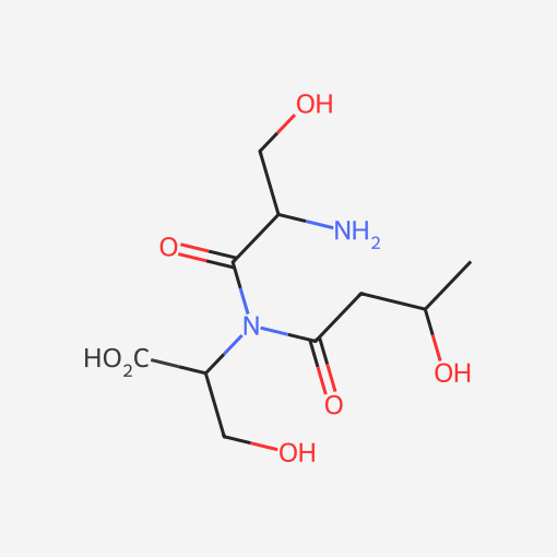 CC(O)CC(=O)N(C(=O)C(N)CO)C(CO)C(=O)O